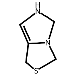 C1=C2CSCN2CN1